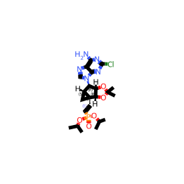 CC(C)OP(=O)(/C=C/[C@]12C[C@@H]1[C@@H](n1cnc3c(N)nc(Cl)nc31)[C@@H]1OC(C)(C)O[C@@H]12)OC(C)C